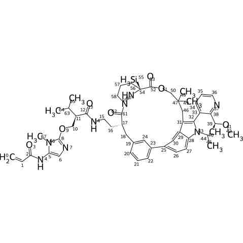 C=CC(=O)Nc1cnc(OC[C@H](C(=O)NCC[C@H]2Cc3cccc(c3)-c3ccc4c(c3)c(c(-c3cccnc3[C@H](C)OC)n4CC)CC(C)(C)COC(=O)[C@@]3([SiH3])CCCN(N3)C2=O)C(C)C)n1C